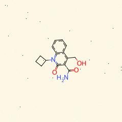 NC(=O)c1c(CO)c2ccccc2n(C2CCC2)c1=O